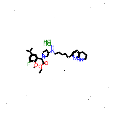 CCOC(=O)C(c1cc(C(C)C)cc(F)c1OC)N1CC[C@@H](NCCCCCc2ccc3c(n2)NCCC3)C1.Cl.Cl